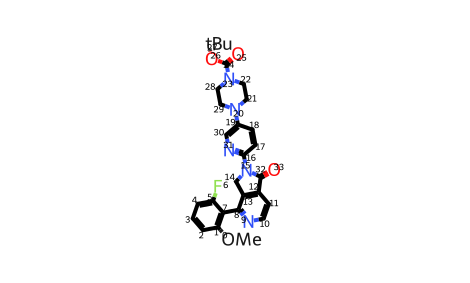 COc1cccc(F)c1-c1nccc2c1CN(c1ccc(N3CCN(C(=O)OC(C)(C)C)CC3)cn1)C2=O